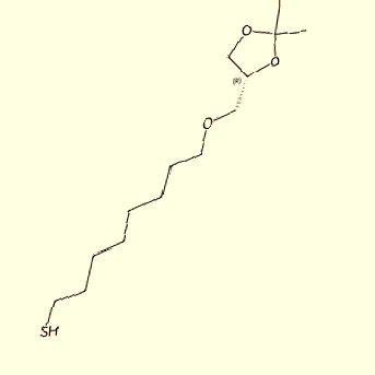 CC1(C)OC[C@@H](COCCCCCCCCS)O1